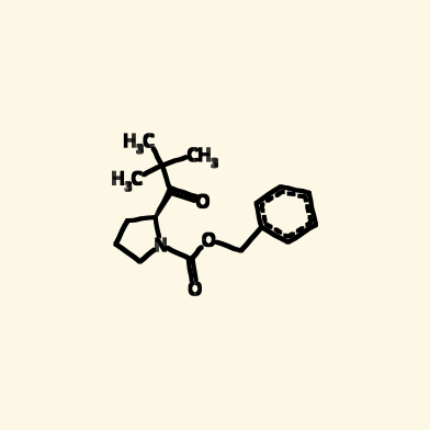 CC(C)(C)C(=O)[C@@H]1CCCN1C(=O)OCc1ccccc1